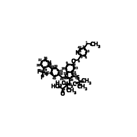 CCc1ccc(COc2ccc3c(c2)c(SC(C)(C)C)c(CC(C)(C)C(=O)O)n3Cc2ccc(-c3ncccc3C(F)(F)F)cc2)nc1